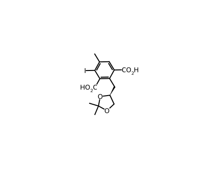 Cc1cc(C(=O)O)c(C[C@H]2COC(C)(C)O2)c(C(=O)O)c1I